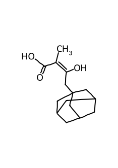 CC(C(=O)O)=C(O)CC12CC3CC(CC(C3)C1)C2